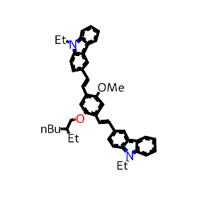 CCCCC(CC)COc1cc(C=Cc2ccc3c(c2)c2ccccc2n3CC)c(OC)cc1C=Cc1ccc2c(c1)c1ccccc1n2CC